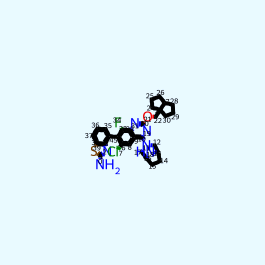 Nc1nc2c(-c3c(Cl)cc4c(N5CC6CCC(C5)N6)nc(OCC56CCCC5CCC6)nc4c3F)cccc2s1